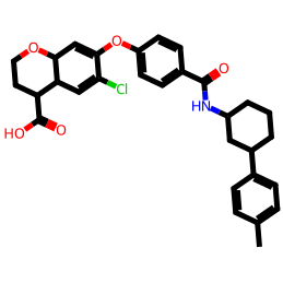 Cc1ccc(C2CCCC(NC(=O)c3ccc(OC4=CC5OCCC(C(=O)O)C5C=C4Cl)cc3)C2)cc1